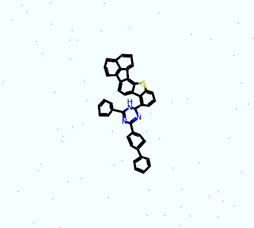 c1ccc(C2=NC(c3ccc(-c4ccccc4)cc3)=NC(c3cccc4sc5c6c(ccc5c34)-c3cccc4cccc-6c34)N2)cc1